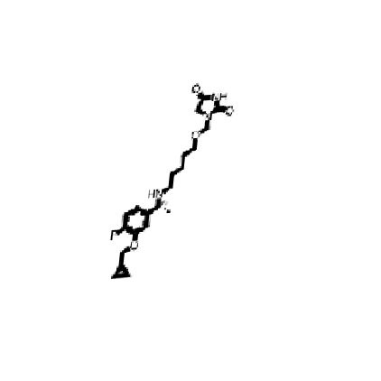 C[C@@H](NCCCCCOCN1CC(=O)NC1=O)c1ccc(F)c(OCC2CC2)c1